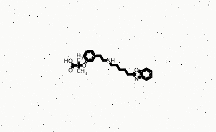 CC(C)(Oc1cccc(CCNCCCCCc2nc3ccccc3o2)c1)C(=O)O